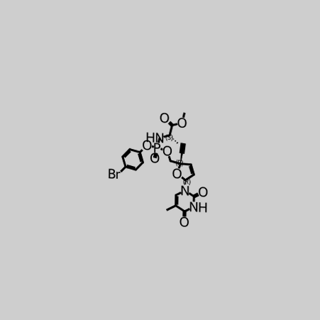 C#C[C@@]1(COP(=O)(N[C@@H](C)C(=O)OC)Oc2ccc(Br)cc2)C=C[C@H](n2cc(C)c(=O)[nH]c2=O)O1